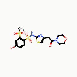 CS(=O)(=O)c1cc(Br)ccc1S(=O)(=O)Nc1nc(CC(=O)N2CCOCC2)cs1